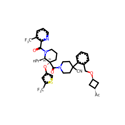 CCC[C@H]1N(C(=O)c2ncccc2C(F)(F)F)CCC[C@@]1(Oc1csc(C(F)(F)F)c1)C(=O)N1CCC(C#N)(c2ccccc2CO[C@H]2C[C@H](C(C)=O)C2)CC1